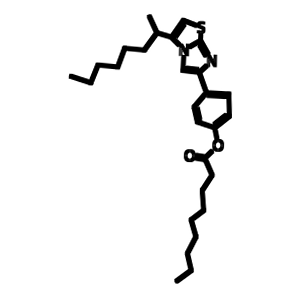 CCCCCCCCC(=O)Oc1ccc(-c2cn3c(C(C)CCCCCC)csc3n2)cc1